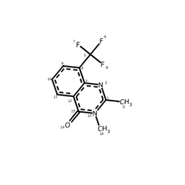 Cc1nc2c(C(F)(F)F)cccc2c(=O)n1C